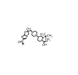 CC1(CN2CCN(C3CCN(C(=O)O)[C@H](C(C)(C)C)C3)CC2)Cn2cc([N+](=O)[O-])nc2O1